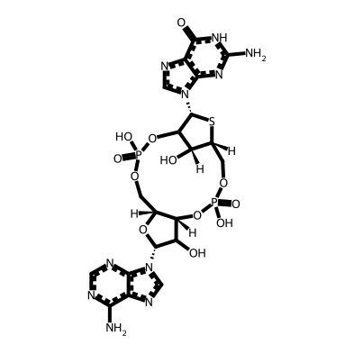 Nc1nc2c(ncn2[C@@H]2S[C@@H]3COP(=O)(O)O[C@@H]4C(O)[C@H](n5cnc6c(N)ncnc65)O[C@@H]4COP(=O)(O)OC2[C@H]3O)c(=O)[nH]1